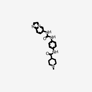 CN1CCC(C(=O)Nc2ccc(NC(=O)Nc3ccc4nccn4c3)cc2)CC1